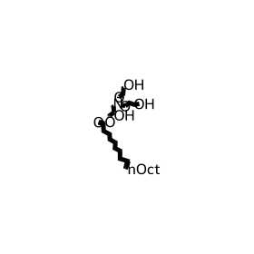 CCCCCCCCC=CCCCCCCCC(=O)OCC(O)CN(OCCO)OCCO